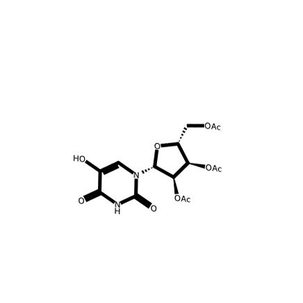 CC(=O)OC[C@H]1O[C@@H](n2cc(O)c(=O)[nH]c2=O)[C@H](OC(C)=O)[C@@H]1OC(C)=O